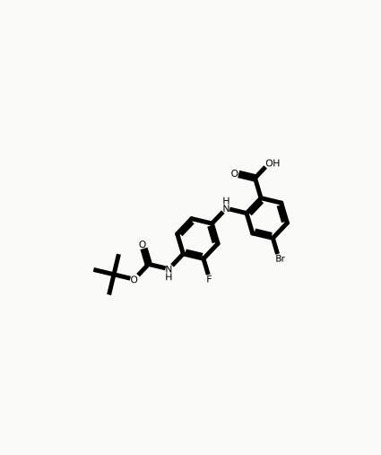 CC(C)(C)OC(=O)Nc1ccc(Nc2cc(Br)ccc2C(=O)O)cc1F